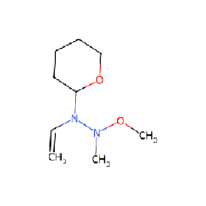 C=CN(C1CCCCO1)N(C)OC